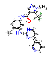 Cc1ccc(NC(=O)c2cnn(C)c2C(F)(F)F)cc1Nc1nccc(-c2cccnc2)n1